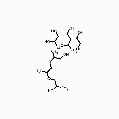 CC(O)CCO.CC(O)COC(C)COC(C)CO.CCC(O)CO.OCCO